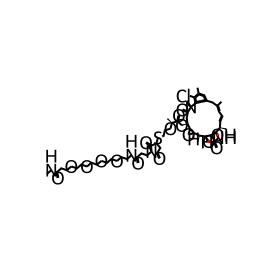 CNC(=O)CCOCCOCCOCCOCCNC(=O)CCN1C(=O)CC(SCCO[C@@H](C)C(=O)O[C@H]2CC(=O)N(C)c3cc(cc(C)c3Cl)C/C(C)=C/C=C/[C@@H](C)[C@@]3(O)C[C@H](OC(=O)N3)[C@@H](C)[C@@H]3O[C@@]23C)C1=O